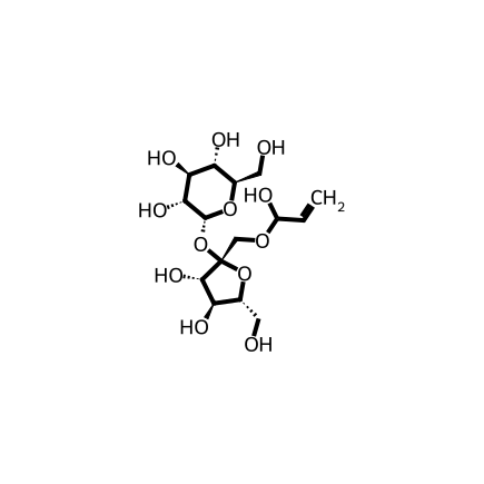 C=CC(O)OC[C@@]1(O[C@H]2O[C@H](CO)[C@@H](O)[C@H](O)[C@H]2O)O[C@H](CO)[C@@H](O)[C@@H]1O